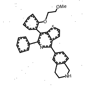 COCCOc1ccccc1-c1c(-c2ccccc2)nc(-c2ccc3c(c2)CCNC3)c2ccsc12